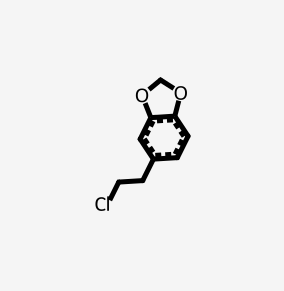 ClCCc1ccc2c(c1)OCO2